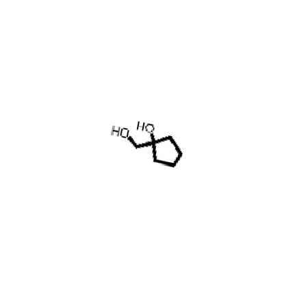 OCC1(O)CCCC1